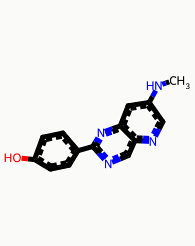 CNc1cnc2cnc(-c3ccc(O)cc3)nc2c1